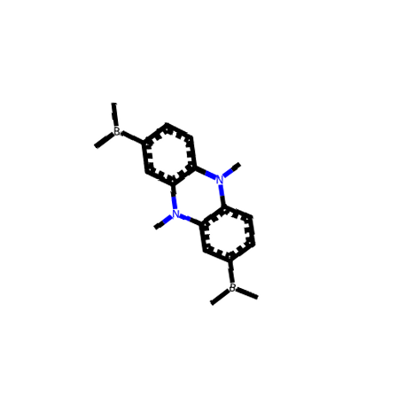 CB(C)c1ccc2c(c1)N(C)c1cc(B(C)C)ccc1N2C